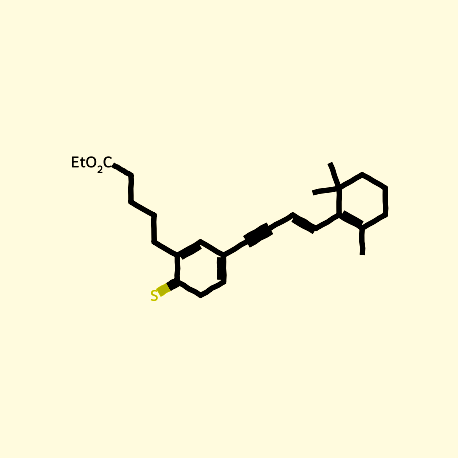 CCOC(=O)CCCCC1=CC(C#CC=CC2=C(C)CCCC2(C)C)=CCC1=S